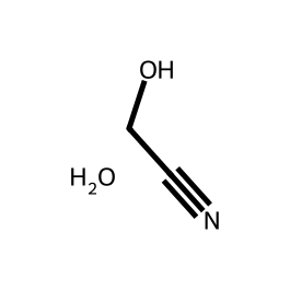 N#CCO.O